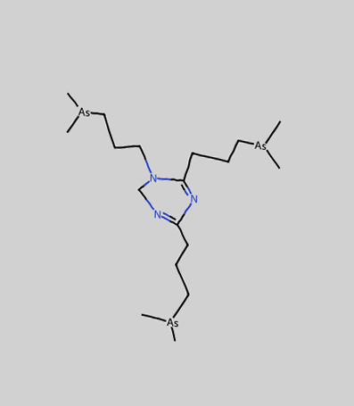 C[As](C)CCCC1=NCN(CCC[As](C)C)C(CCC[As](C)C)=N1